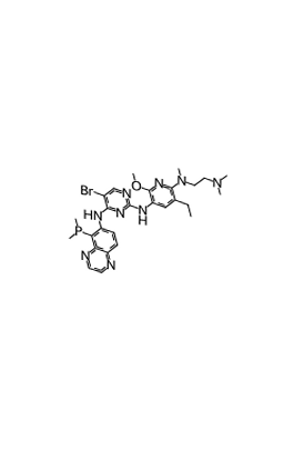 CCc1cc(Nc2ncc(Br)c(Nc3ccc4nccnc4c3P(C)C)n2)c(OC)nc1N(C)CCN(C)C